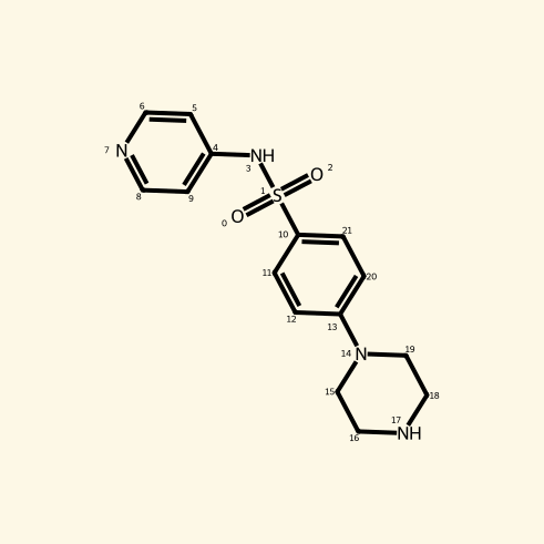 O=S(=O)(Nc1ccncc1)c1ccc(N2CCNCC2)cc1